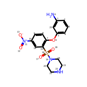 Nc1cccc(Oc2ccc([N+](=O)[O-])cc2S(=O)(=O)N2CCNCC2)c1